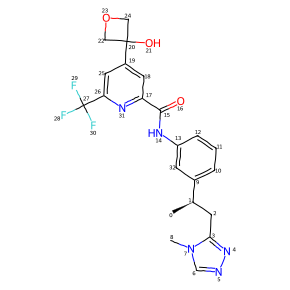 C[C@H](Cc1nncn1C)c1cccc(NC(=O)c2cc(C3(O)COC3)cc(C(F)(F)F)n2)c1